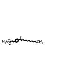 CCCCCCCCCCCC=C(I)c1ccc(C=CC(=O)OC)cc1